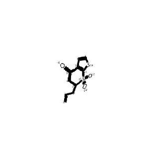 C=CCC1CC(=O)c2ccsc2S1(=O)=O